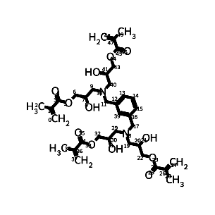 C=C(C)C(=O)OCC(O)CN(Cc1cccc(CN(CC(O)COC(=O)C(=C)C)CC(O)COC(=O)C(=C)C)c1)CC(O)COC(=O)C(=C)C